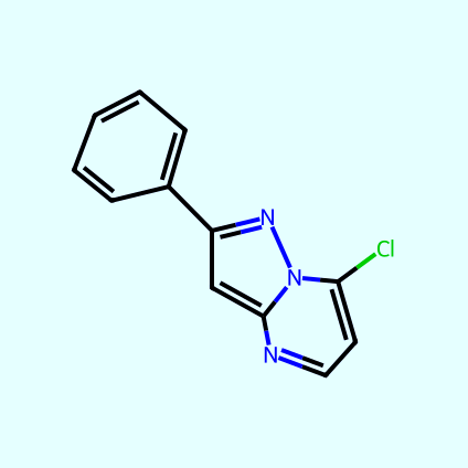 Clc1ccnc2cc(-c3ccccc3)nn12